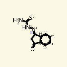 NC(=S)N/N=C1\CC(=O)c2ccccc21